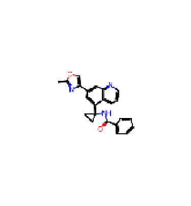 Cc1nc(-c2cc(C3(NC(=O)c4ccccc4)CC3)c3cccnc3c2)co1